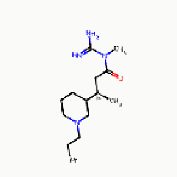 CC(C)CCN1CCCC([C@H](C)CC(=O)N(C)C(=N)N)C1